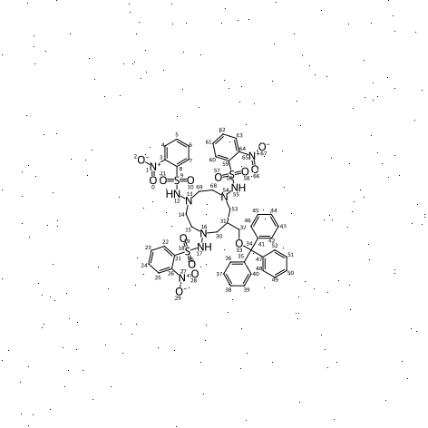 O=[N+]([O-])c1ccccc1S(=O)(=O)NN1CCN(NS(=O)(=O)c2ccccc2[N+](=O)[O-])CC(COC(c2ccccc2)(c2ccccc2)c2ccccc2)CN(NS(=O)(=O)c2ccccc2[N+](=O)[O-])CC1